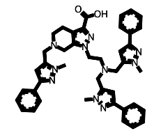 Cn1nc(-c2ccccc2)cc1CN(CCn1nc(C(=O)O)c2c1CN(Cc1cc(-c3ccccc3)nn1C)CC2)Cc1cc(-c2ccccc2)nn1C